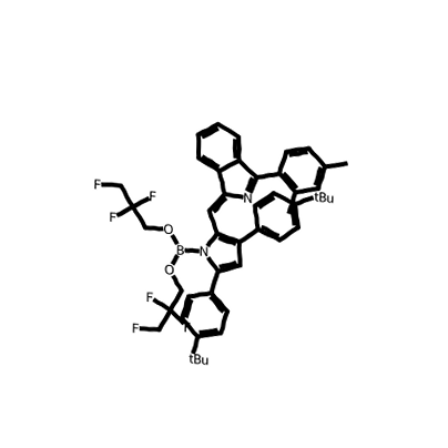 Cc1ccc(C2=N/C(=C\c3c(-c4ccc(C(C)(C)C)cc4)cc(-c4ccc(C(C)(C)C)cc4)n3B(OCC(F)(F)CF)OCC(F)(F)CF)c3ccccc32)c(C)c1